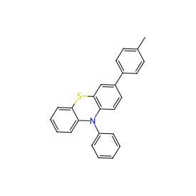 Cc1ccc(-c2ccc3c(c2)Sc2ccccc2N3c2ccccc2)cc1